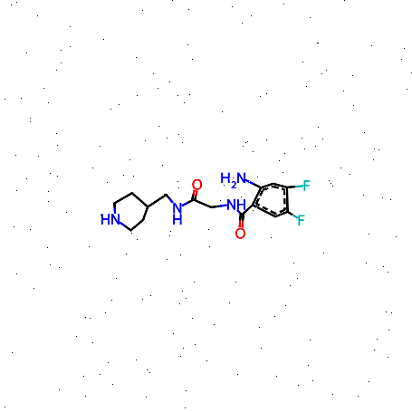 Nc1cc(F)c(F)cc1C(=O)NCC(=O)NCC1CCNCC1